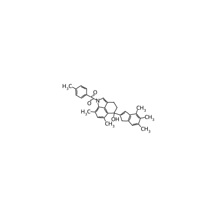 Cc1ccc(S(=O)(=O)n2cc3c4c(c(C)cc(C)c42)C(O)(C2=Cc4c(cc(C)c(C)c4C)C2)CC3)cc1